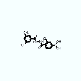 Cc1cc(C)cc(C(=O)NNC(=O)c2ccc(B(O)O)cc2Cl)c1